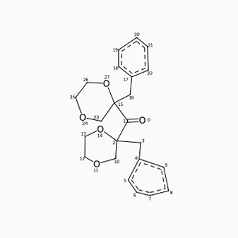 O=C(C1(Cc2ccccc2)COCCO1)C1(Cc2ccccc2)COCCO1